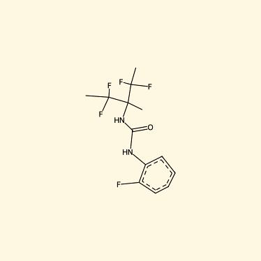 CC(F)(F)C(C)(NC(=O)Nc1ccccc1F)C(C)(F)F